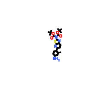 Cc1cc(N)ccc1-c1ccc2nc(N(C(=O)OC(C)(C)C)C(=O)OC(C)(C)C)sc2n1